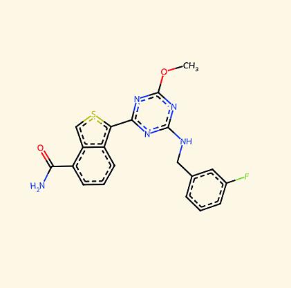 COc1nc(NCc2cccc(F)c2)nc(-c2scc3c(C(N)=O)cccc23)n1